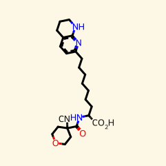 N#CC1(C(=O)NC(CCCCCCCc2ccc3c(n2)NCCC3)C(=O)O)CCOCC1